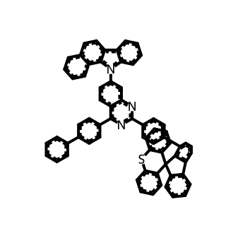 c1ccc(-c2ccc(-c3nc(-c4ccc(-c5cccc6c5C5(c7ccccc7Sc7ccccc75)c5ccccc5-6)cc4)nc4cc(-n5c6ccccc6c6ccc7ccccc7c65)ccc34)cc2)cc1